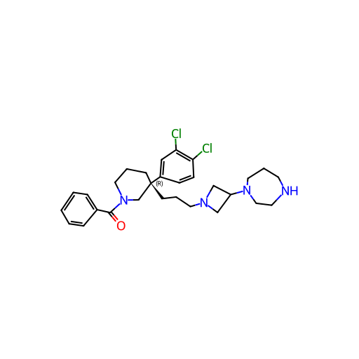 O=C(c1ccccc1)N1CCC[C@](CCCN2CC(N3CCCNCC3)C2)(c2ccc(Cl)c(Cl)c2)C1